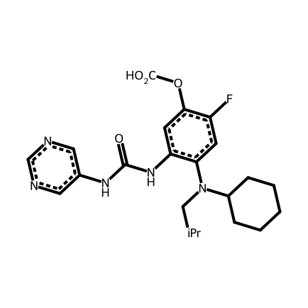 CC(C)CN(c1cc(F)c(OC(=O)O)cc1NC(=O)Nc1cncnc1)C1CCCCC1